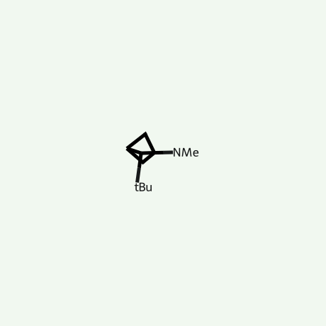 CNC12CC(C1)C2C(C)(C)C